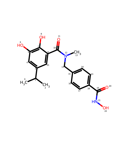 CC(C)c1cc(O)c(O)c(C(=O)N(C)Cc2ccc(C(=O)NO)cc2)c1